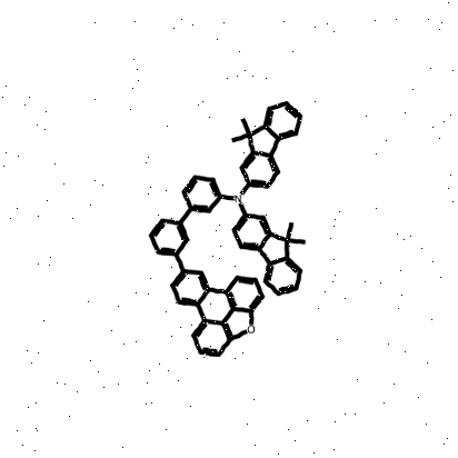 CC1(C)c2ccccc2-c2ccc(N(c3cccc(-c4cccc(-c5ccc6c(c5)c5cccc7oc8cccc6c8c75)c4)c3)c3ccc4c(c3)C(C)(C)c3ccccc3-4)cc21